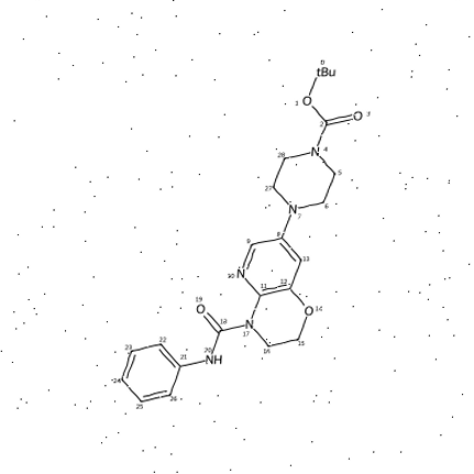 CC(C)(C)OC(=O)N1CCN(c2cnc3c(c2)OCCN3C(=O)Nc2ccccc2)CC1